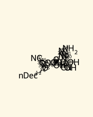 CCCCCCCCCCCCCCOC[C@H](COP(=O)(O)OC[C@@]1(C#N)OC(c2ccc3c(N)ncnn23)[C@H](O)[C@@H]1O)Oc1cc(C#N)ccn1